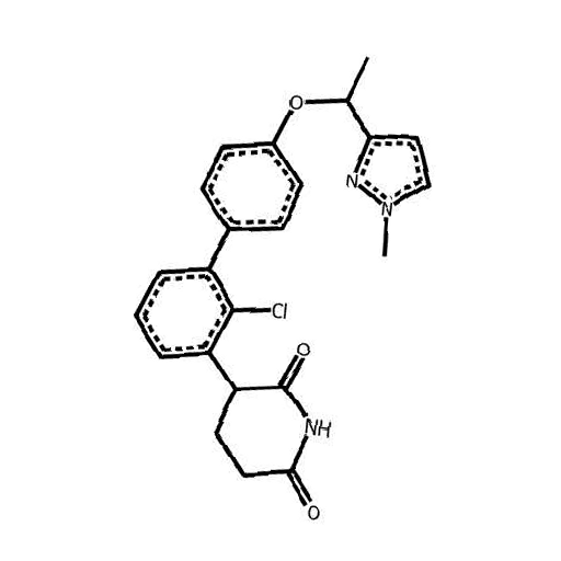 CC(Oc1ccc(-c2cccc(C3CCC(=O)NC3=O)c2Cl)cc1)c1ccn(C)n1